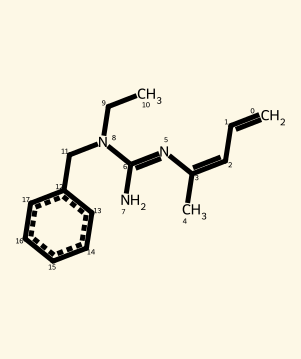 C=C/C=C(C)\N=C(/N)N(CC)Cc1ccccc1